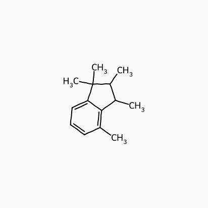 Cc1cccc2c1C(C)C(C)C2(C)C